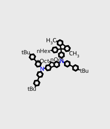 CCCCCCCCC1(CCCCCCCC)c2cc(N(c3ccc(-c4ccc(C(C)(C)C)cc4)cc3)c3ccc(-c4ccc(C(C)(C)C)cc4)cc3)ccc2-c2ccc(N(c3ccc(-c4ccc(C(C)(C)C)cc4)cc3)c3ccc(C4(c5ccc(CCCCCC)cc5)c5cc(C)ccc5-c5ccc(C)cc54)cc3)cc21